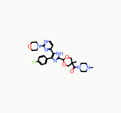 CN1CCN(C(=O)C2(C)COC(c3nc(-c4ccc(F)cc4)c(-c4ccnc(N5CCOCC5)n4)[nH]3)OC2)CC1